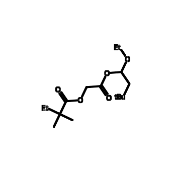 CCOC(CC(C)(C)C)OC(=O)COC(=O)C(C)(C)CC